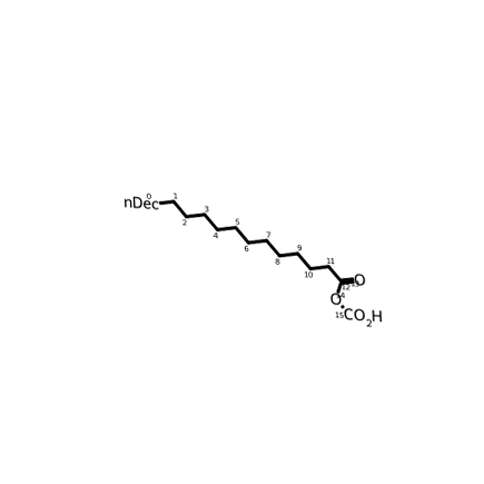 CCCCCCCCCCCCCCCCCCCCCC(=O)OC(=O)O